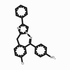 O=[N+]([O-])c1ccc(C2=Nn3cc(-c4ccccc4)nc3Cc3ccc(Cl)cc32)cc1